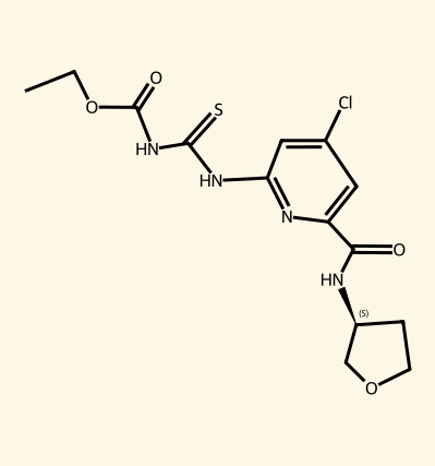 CCOC(=O)NC(=S)Nc1cc(Cl)cc(C(=O)N[C@H]2CCOC2)n1